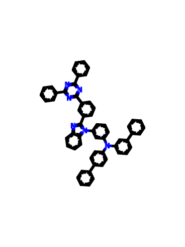 c1ccc(-c2ccc(N(c3cccc(-c4ccccc4)c3)c3cccc(-n4c(-c5cccc(-c6nc(-c7ccccc7)nc(-c7ccccc7)n6)c5)nc5ccccc54)c3)cc2)cc1